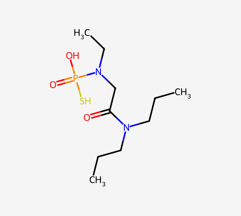 CCCN(CCC)C(=O)CN(CC)P(=O)(O)S